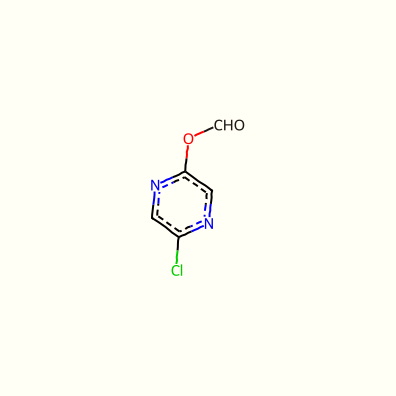 O=COc1cnc(Cl)cn1